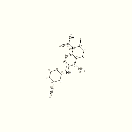 C[C@H]1CCc2c(ccc(N[C@H]3CCC[C@@H](C#N)C3)c2N)N1C(=O)O